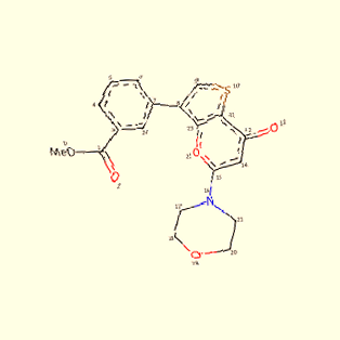 COC(=O)c1cccc(-c2csc3c(=O)cc(N4CCOCC4)oc23)c1